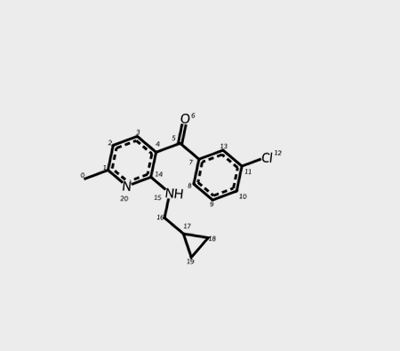 Cc1ccc(C(=O)c2cccc(Cl)c2)c(NCC2CC2)n1